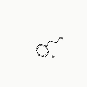 OCC[n+]1ccccc1.[Br-]